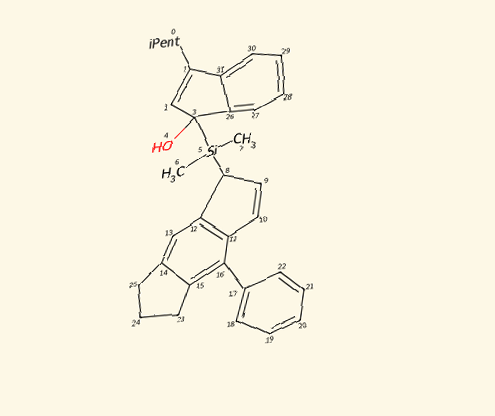 CCCC(C)C1=CC(O)([Si](C)(C)C2C=Cc3c2cc2c(c3-c3ccccc3)CCC2)c2ccccc21